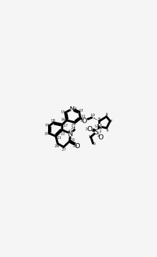 CCS(=O)(=O)N1CCC[C@H]1COc1cncc(-c2cccc3c2N(C)C(=O)CC3)c1